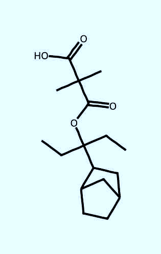 CCC(CC)(OC(=O)C(C)(C)C(=O)O)C1CC2CCC1C2